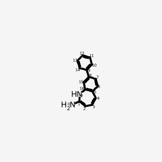 NC1=CC=Cc2ccc(-c3ccccc3)cc2N1